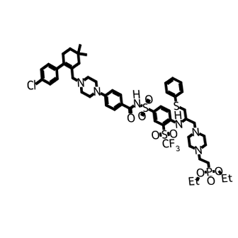 CCOP(=O)(CCN1CCN(CC(CSc2ccccc2)Nc2ccc(S(=O)(=O)NC(=O)c3ccc(N4CCN(CC5=C(c6ccc(Cl)cc6)CCC(C)(C)C5)CC4)cc3)cc2S(=O)(=O)C(F)(F)F)CC1)OCC